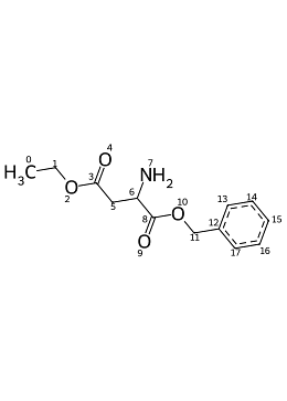 CCOC(=O)CC(N)C(=O)OCc1ccccc1